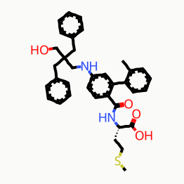 CSCC[C@H](NC(=O)c1ccc(NCC(CO)(Cc2ccccc2)Cc2ccccc2)cc1-c1ccccc1C)C(=O)O